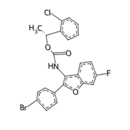 C[C@@H](OC(=O)Nc1c(-c2ccc(Br)cc2)oc2cc(F)ccc12)c1ccccc1Cl